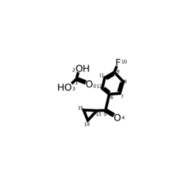 O=C(O)O.O=C(c1ccc(F)cc1)C1CC1